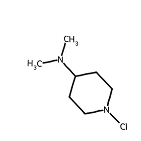 CN(C)C1CCN(Cl)CC1